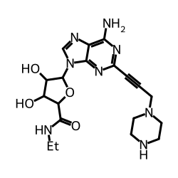 CCNC(=O)C1OC(n2cnc3c(N)nc(C#CCN4CCNCC4)nc32)C(O)C1O